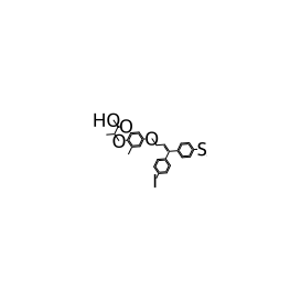 CSc1ccc(C(=CCOc2ccc(OC(C)C(=O)O)c(C)c2)c2ccc(I)cc2)cc1